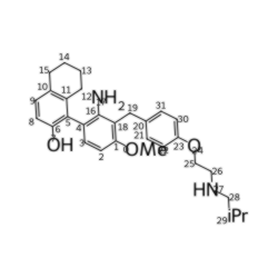 COc1ccc(-c2c(O)ccc3c2CCCC3)c(N)c1Cc1ccc(OCCNCC(C)C)cc1